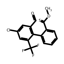 COC(=S)c1ccccc1-c1c(C=O)cc(Cl)cc1C(F)(F)F